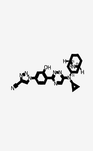 N#Cc1cn(-c2ccc(-c3ncc(N(C4CC4)[C@@H]4C[C@H]5CCC[C@@H](C4)N5)nn3)c(O)c2)nn1